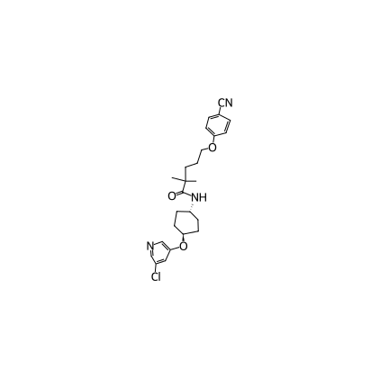 CC(C)(CCCOc1ccc(C#N)cc1)C(=O)N[C@H]1CC[C@H](Oc2cncc(Cl)c2)CC1